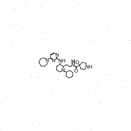 O=C(NCCC1C(Nc2nccc(N3CCCCCC3)n2)CCCN1C1CCCCC1)C1(O)CCNCC1